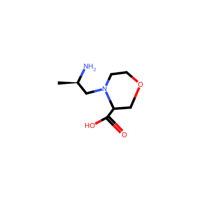 C[C@@H](N)CN1CCOCC1C(=O)O